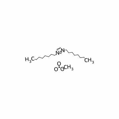 CCCCCCCCn1cc[n+](CCCCCCCC)c1.COC(=O)[O-]